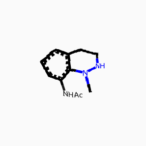 CC(=O)Nc1cccc2c1N(C)NCC2